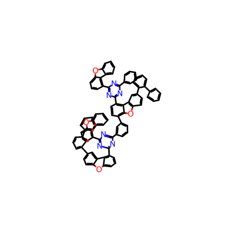 c1ccc(-c2cccc(-c3ccc4oc5cccc(-c6nc(-c7cccc(-c8ccc(-c9nc(-c%10ccccc%10)nc(-c%10cccc%11oc%12ccccc%12c%10%11)n9)c9c8oc8ccc(-c%10ccccc%10-c%10ccccc%10)cc89)c7)nc(-c7cccc8oc9ccccc9c78)n6)c5c4c3)c2)cc1